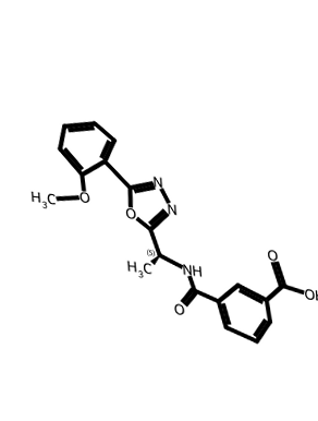 COc1ccccc1-c1nnc([C@H](C)NC(=O)c2cccc(C(=O)O)c2)o1